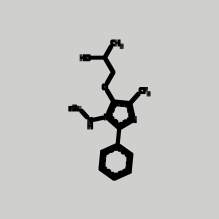 CCCCNn1c(-c2ccccc2)nc(C(F)(F)F)c1OCC(C)O